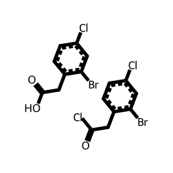 O=C(Cl)Cc1ccc(Cl)cc1Br.O=C(O)Cc1ccc(Cl)cc1Br